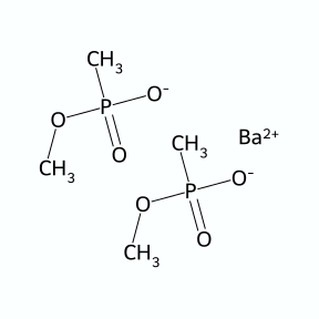 COP(C)(=O)[O-].COP(C)(=O)[O-].[Ba+2]